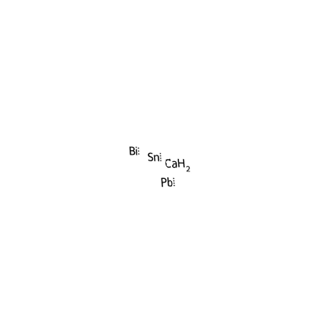 [Bi].[CaH2].[Pb].[Sn]